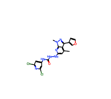 Cc1cc(NNC(=O)Nc2cc(Cl)nc(Cl)c2)nc2c1c(-c1ccoc1)nn2C